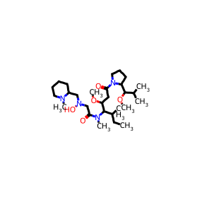 CCC(C)C(C(CC(=O)N1CCCC1C(OC)C(C)C)OC)N(C)C(=O)CN(O)CC1CCCCN1C